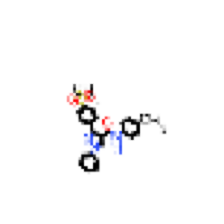 Cc1ccc(NC(=O)c2cn(-c3ccccc3)nc2-c2ccc(S(C)(=O)=O)cc2)cc1